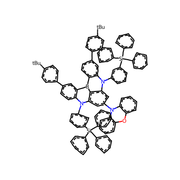 CC(C)(C)c1ccc(-c2ccc3c(c2)B2c4ccc(-c5ccc(C(C)(C)C)cc5)cc4N(c4cccc([Si](c5ccccc5)(c5ccccc5)c5ccccc5)c4)c4cc(N5c6ccccc6Oc6ccccc65)cc(c42)N3c2cccc([Si](c3ccccc3)(c3ccccc3)c3ccccc3)c2)cc1